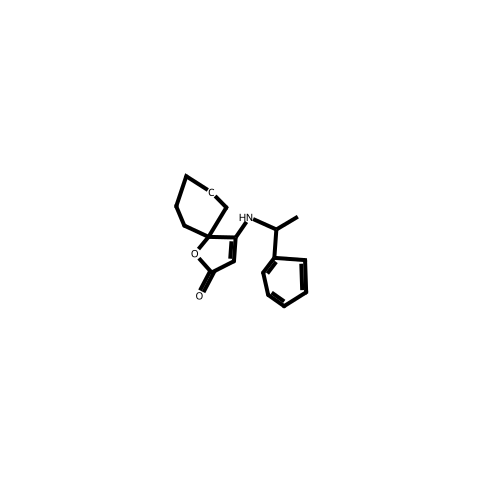 CC(NC1=CC(=O)OC12CCCCC2)c1ccccc1